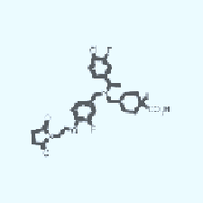 CC(c1ccc(Cl)c(F)c1)N(Cc1ccc(OCCN2C(=O)CCC2=O)c(F)c1)CC1CCC(I)(C(=O)O)CC1